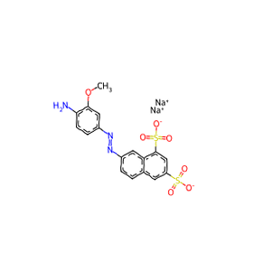 COc1cc(N=Nc2ccc3cc(S(=O)(=O)[O-])cc(S(=O)(=O)[O-])c3c2)ccc1N.[Na+].[Na+]